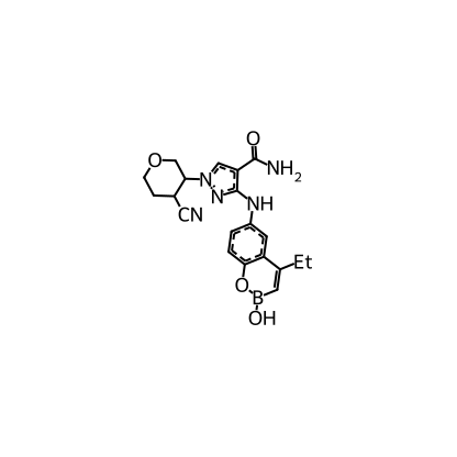 CCC1=CB(O)Oc2ccc(Nc3nn(C4COCCC4C#N)cc3C(N)=O)cc21